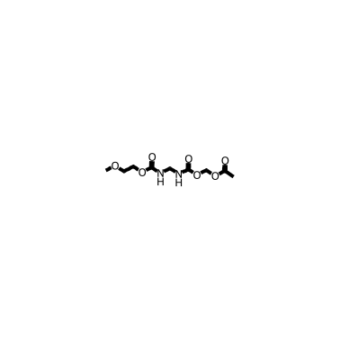 COCCOC(=O)NCNC(=O)OCOC(C)=O